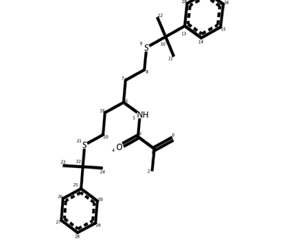 C=C(C)C(=O)NC(CCSC(C)(C)c1ccccc1)CCSC(C)(C)c1ccccc1